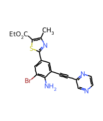 CCOC(=O)c1sc(-c2cc(Br)c(N)c(C#Cc3cnccn3)c2)nc1C